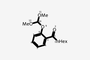 CCCCCCC(=O)c1ccccc1OC(OC)OC